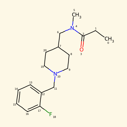 CCC(=O)N(C)CC1CCN(Cc2ccccc2F)CC1